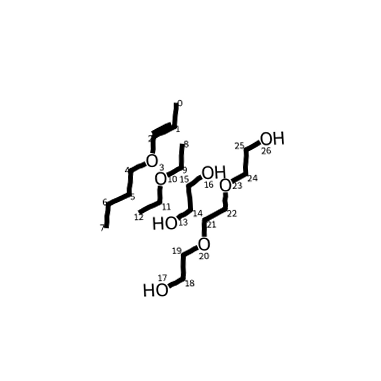 C/C=C/OCCCC.CCOCC.OCCO.OCCOCCOCCO